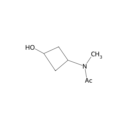 CC(=O)N(C)C1CC(O)C1